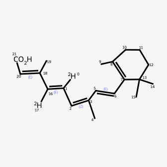 [2H]C(/C=C(C)\C=C\C1=C(C)CCCC1(C)C)=C([2H])\C(C)=C\C(=O)O